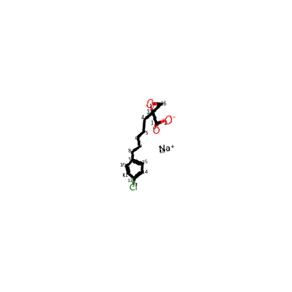 O=C([O-])C1(CCCCCc2ccc(Cl)cc2)CO1.[Na+]